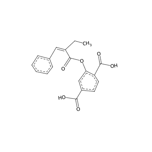 CCC(=Cc1ccccc1)C(=O)Oc1cc(C(=O)O)ccc1C(=O)O